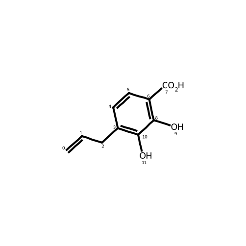 C=CCc1ccc(C(=O)O)c(O)c1O